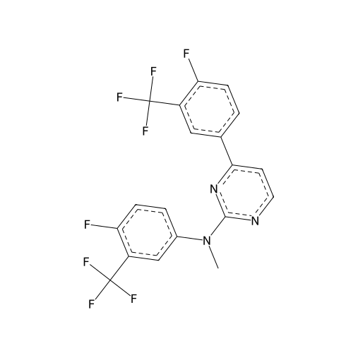 CN(c1ccc(F)c(C(F)(F)F)c1)c1nccc(-c2ccc(F)c(C(F)(F)F)c2)n1